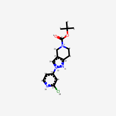 CC(C)(C)OC(=O)N1CCc2nn(-c3ccnc(Cl)c3)cc2C1